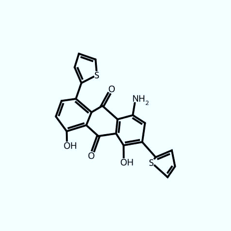 Nc1cc(-c2cccs2)c(O)c2c1C(=O)c1c(-c3cccs3)ccc(O)c1C2=O